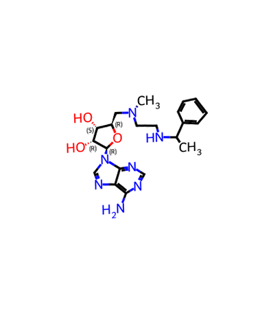 CC(NCCN(C)C[C@H]1O[C@@H](n2cnc3c(N)ncnc32)[C@H](O)[C@@H]1O)c1ccccc1